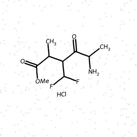 COC(=O)C(C)C(C(=O)C(C)N)C(F)F.Cl